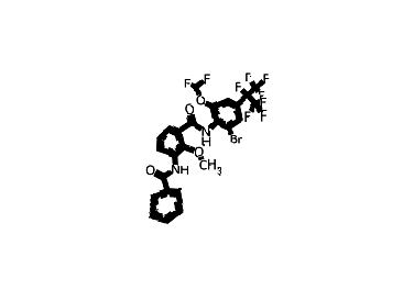 COc1c(NC(=O)c2ccccc2)cccc1C(=O)Nc1c(Br)cc(C(F)(C(F)(F)F)C(F)(F)F)cc1OC(F)F